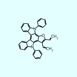 C=Cc1oc2c(c1C=C)c1c(c3ccccc3n1-c1ccccc1)c1c3ccccc3n(-c3ccccc3)c21